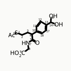 CC(=O)SCCC(C(=O)NCC(=O)O)c1ccc(C(O)O)cc1